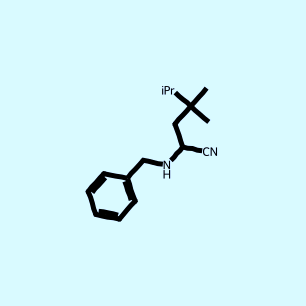 CC(C)C(C)(C)CC(C#N)NCc1ccccc1